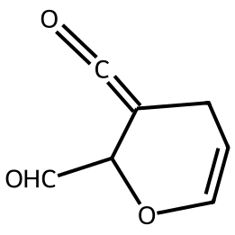 O=C=C1CC=COC1C=O